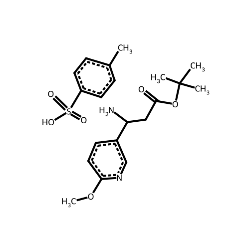 COc1ccc(C(N)CC(=O)OC(C)(C)C)cn1.Cc1ccc(S(=O)(=O)O)cc1